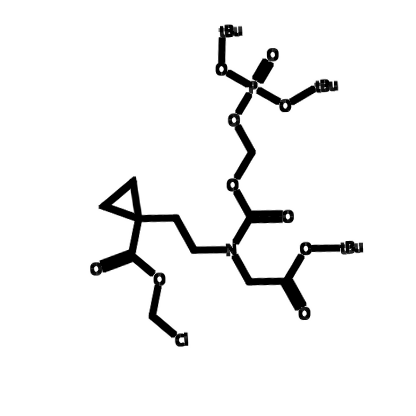 CC(C)(C)OC(=O)CN(CCC1(C(=O)OCCl)CC1)C(=O)OCOP(=O)(OC(C)(C)C)OC(C)(C)C